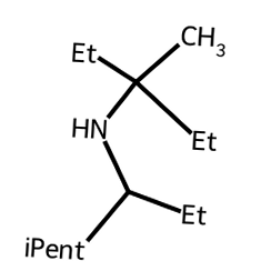 CCCC(C)C(CC)NC(C)(CC)CC